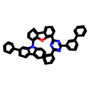 c1ccc(-c2cccc(-c3nc(-c4ccccc4)nc(-c4cccc5c4oc4c(-n6c7ccccc7c7ccc(-c8ccccc8)cc76)cccc45)n3)c2)cc1